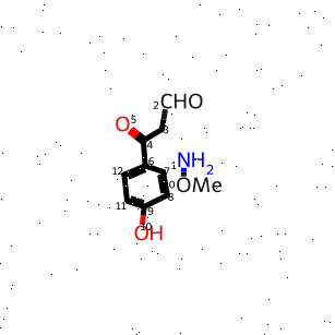 CON.O=CCC(=O)c1ccc(O)cc1